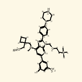 COCC1(CN(C)c2cc(-c3cc(F)cc(C(F)(F)F)c3)nc3c2nc(-c2ccc(N4CCNCC4)cc2)n3COCC[Si](C)(C)C)CCC1